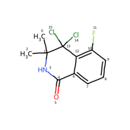 CC1(C)NC(=O)c2cccc(F)c2C1(Cl)Cl